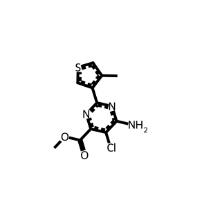 COC(=O)c1nc(-c2cscc2C)nc(N)c1Cl